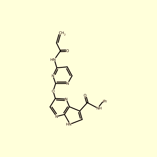 C=CC(=O)Nc1ccnc(Oc2cnc3[nH]cc(C(=O)NC(C)C)c3n2)n1